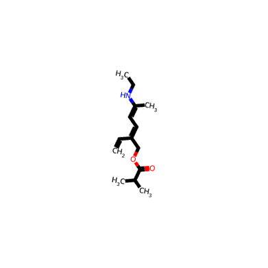 C=C/C(=C\C=C(/C)NCC)COC(=O)C(C)C